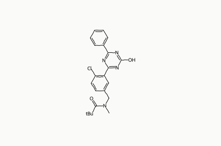 CN(Cc1ccc(Cl)c(-c2nc(O)nc(-c3ccccc3)n2)c1)C(=O)C(C)(C)C